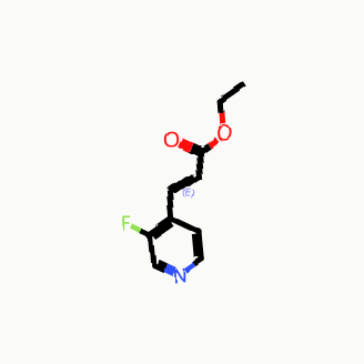 CCOC(=O)/C=C/c1ccncc1F